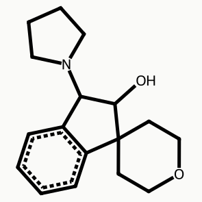 OC1C(N2CCCC2)c2ccccc2C12CCOCC2